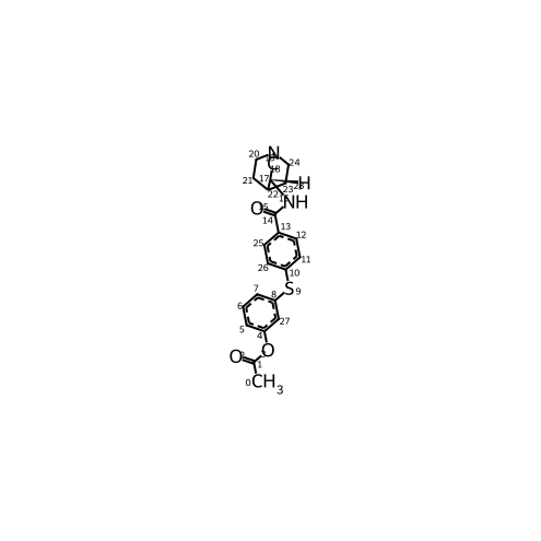 CC(=O)Oc1cccc(Sc2ccc(C(=O)N[C@H]3CN4CCC3CC4)cc2)c1